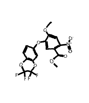 COC(=O)c1cc(Oc2ccc3c(c2)OC(F)(F)C(F)(F)O3)c(OC)cc1[N+](=O)[O-]